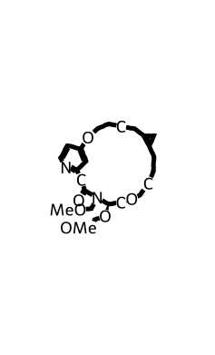 COCO[C@@H]1COCCCCC2=C(CCCCOc3ccnc(c3)CC(=O)N1COC)C2